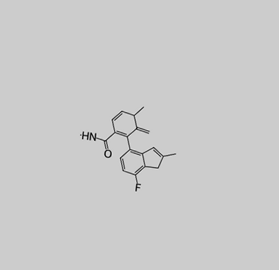 C=C1C(c2ccc(F)c3c2C=C(C)C3)=C(C([NH])=O)C=CC1C